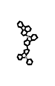 c1ccc(-n2c3ccccc3c3cc(-c4ccc5c(c4)c4ccccc4n5-c4ccc5c6c(cccc46)-c4ccccc4-5)ccc32)cc1